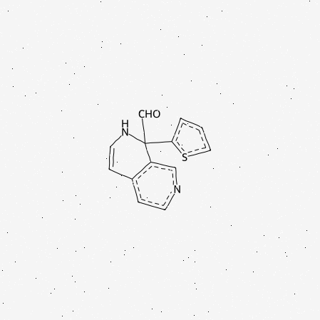 O=CC1(c2cccs2)NC=Cc2ccncc21